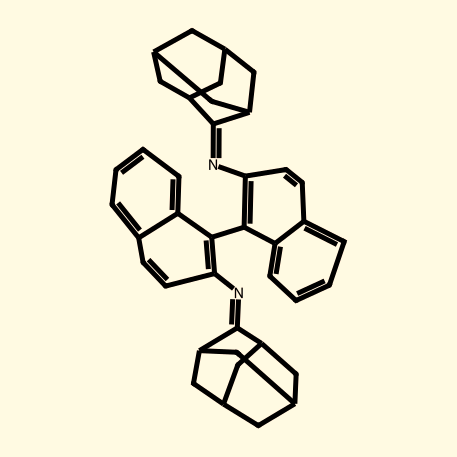 c1ccc2c(-c3c(N=C4C5CC6CC(C5)CC4C6)ccc4ccccc34)c(N=C3C4CC5CC(C4)CC3C5)ccc2c1